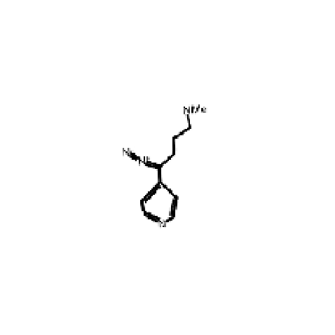 CNCCCC(=[N+]=[N-])c1ccncc1